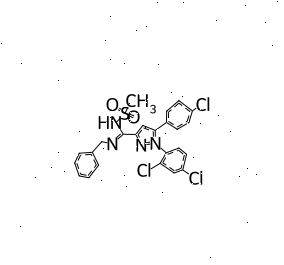 CS(=O)(=O)NC(=NCc1ccccc1)c1cc(-c2ccc(Cl)cc2)n(-c2ccc(Cl)cc2Cl)n1